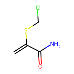 C=C(SCCl)C(N)=O